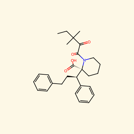 CCC(C)(C)C(=O)C(=O)N1CCCC[C@@]1(C(=O)O)[C@H](CCc1ccccc1)c1ccccc1